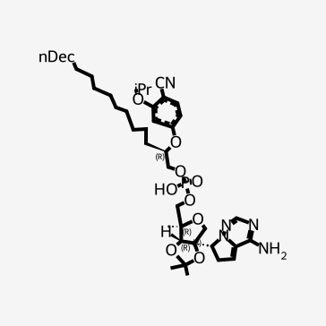 CCCCCCCCCCCCCCCCCCC[C@H](COP(=O)(O)OC[C@@]1(C)OC[C@@]2(C3CC=C4C(N)=NC=NN43)OC(C)(C)O[C@H]12)Oc1ccc(C#N)c(OC(C)C)c1